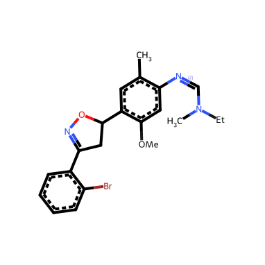 CCN(C)/C=N\c1cc(OC)c(C2CC(c3ccccc3Br)=NO2)cc1C